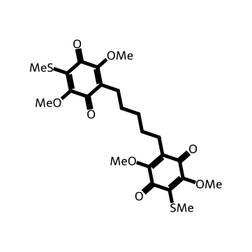 COC1=C(CCCCCC2=C(OC)C(=O)C(SC)=C(OC)C2=O)C(=O)C(OC)=C(SC)C1=O